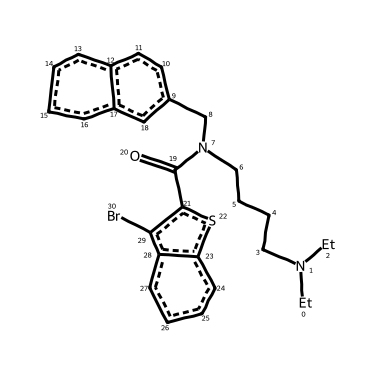 CCN(CC)CCCCN(Cc1ccc2ccccc2c1)C(=O)c1sc2ccccc2c1Br